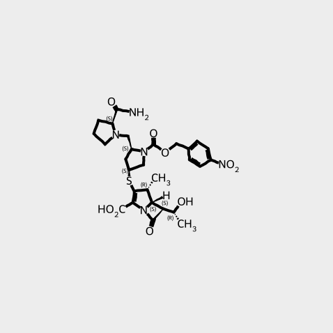 C[C@@H](O)[C@H]1C(=O)N2C(C(=O)O)=C(S[C@H]3C[C@@H](CN4CCC[C@H]4C(N)=O)N(C(=O)OCc4ccc([N+](=O)[O-])cc4)C3)[C@H](C)[C@H]12